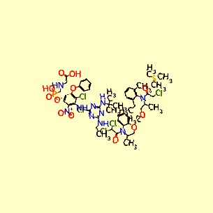 CC1COc2ccccc2N1C(=O)C(Cl)Cl.CCNc1nc(Cl)nc(NC(C)(C)C)n1.CCc1cccc(C)c1N(C(=O)CCl)C(C)COC.C[S+](C)C.Nc1c([N+](=O)[O-])ccc(Oc2ccccc2)c1Cl.O=C(O)CNCP(=O)([O-])O